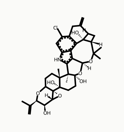 C=C(C)[C@H]1OC2CC[C@@]3(C)[C@@](O)(CC[C@]4(O)O[C@@H]5OC(C)(C)[C@H]6C[C@@H]7C(=C)Cc8c(Cl)cc9[nH]c(c5c9c8[C@@]76O)[C@]34C)[C@]23O[C@@H]3[C@H]1O